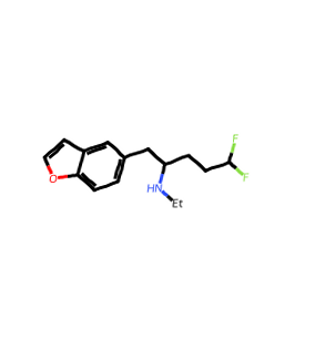 CCNC(CCC(F)F)Cc1ccc2occc2c1